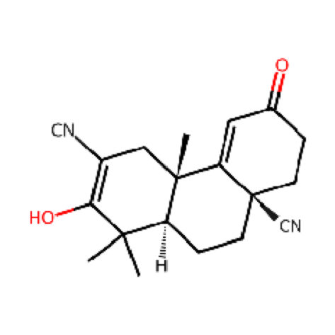 [C-]#[N+]C1=C(O)C(C)(C)[C@@H]2CC[C@@]3(C#N)CCC(=O)C=C3[C@@]2(C)C1